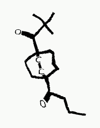 CCCC(=O)C12CCC(C(=O)C(C)(C)C)(CC1)CC2